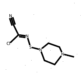 CN1CCN(SN=C(Cl)C#N)CC1